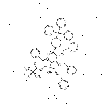 CC(C)(C)C(=O)OC[C@](O)(COCc1ccccc1)[C@@H](OCc1ccccc1)[C@H](OCc1ccccc1)[C@@H](OCc1ccccc1)C(=O)N1CCN(C(c2ccccc2)(c2ccccc2)c2ccccc2)CC1